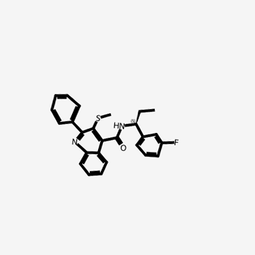 CC[C@H](NC(=O)c1c(SC)c(-c2ccccc2)nc2ccccc12)c1cccc(F)c1